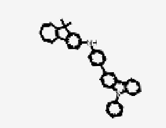 CC1(C)C2=C(C=CCC=C2)c2ccc(Nc3ccc(-c4ccc5c(c4)c4ccccc4n5-c4ccccc4)cc3)cc21